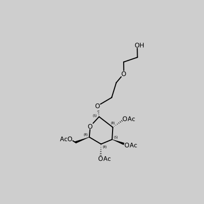 CC(=O)OC[C@H]1O[C@H](OCCOCCO)[C@H](OC(C)=O)[C@@H](OC(C)=O)[C@@H]1OC(C)=O